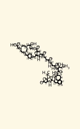 CCO[C@@H]1OC(=O)C[C@@H]1NC(=O)[C@@H]1Cc2cccc3c2N1C(=O)[C@@H](NC(=O)[C@@H](NC(=O)CCNC(=O)CCNC(=O)[C@@H](CCC(=O)O)NC(=O)CN1CCC(CN2CCN(CC(=O)O)CCN(CC(=O)O)CC2)CC1)[C@@H](C)CC)CC3